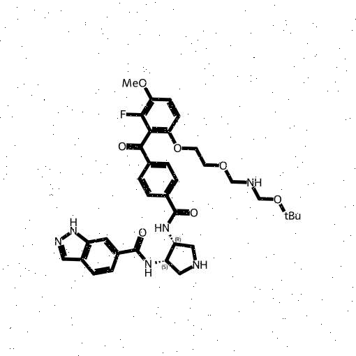 COc1ccc(OCCOCNCOC(C)(C)C)c(C(=O)c2ccc(C(=O)N[C@@H]3CNC[C@@H]3NC(=O)c3ccc4cn[nH]c4c3)cc2)c1F